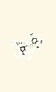 CC(C)(C)c1cc(OP(O)O)cc(C(C)(C)C)c1O.O=C1C=C(N2CC2)C(=O)C(N2CC2)=C1N1CC1